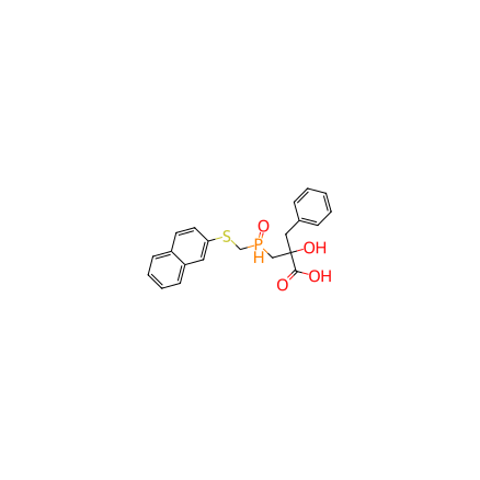 O=C(O)C(O)(Cc1ccccc1)C[PH](=O)CSc1ccc2ccccc2c1